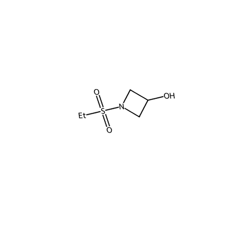 CCS(=O)(=O)N1CC(O)C1